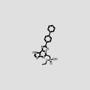 CCOP(=O)(O)Cc1nc2nc[nH]c2c2nc(-c3ccc(-c4ccccc4)cc3)nn12